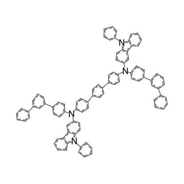 c1ccc(-c2cccc(-c3ccc(N(c4ccc(-c5ccc(-c6ccc(N(c7ccc(-c8cccc(-c9ccccc9)c8)cc7)c7ccc8c(c7)c7ccccc7n8-c7ccccc7)cc6)cc5)cc4)c4ccc5c(c4)c4ccccc4n5-c4ccccc4)cc3)c2)cc1